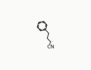 N#C[CH]CCc1ccccc1